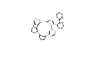 Cc1c2cccc1-c1cccc3oc4c(c13)=C(CCC=4)NC1=CC=C(c3cccc4sc5ccccc5c34)C(C1)C1C=C2C=CC1